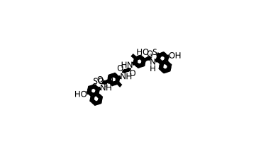 Cc1cc(C(=O)Nc2c(S(=O)(=O)O)cc(O)c3ccccc23)ccc1NC(=O)C(=O)Nc1ccc(C(=O)Nc2c(S(=O)(=O)O)cc(O)c3ccccc23)cc1C